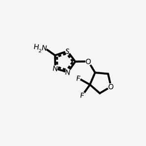 Nc1nnc(OC2COCC2(F)F)s1